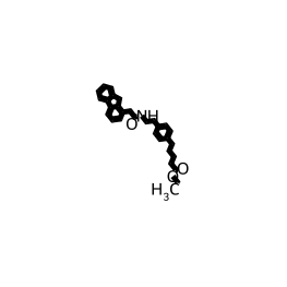 CCOC(=O)CCCCc1ccc(CCNC(=O)Cc2cccc3c2Cc2ccccc2-3)cc1